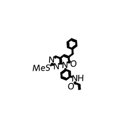 C=CC(=O)Nc1cccc(-n2c(=O)c(Cc3ccccc3)cc3cnc(SC)nc32)c1